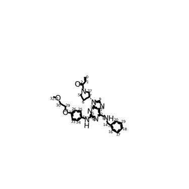 C=CC(=O)N1CC[C@@H](n2cnc3c(NCc4ccccc4)nc(Nc4ccc(OCCOC)cc4)nc32)C1